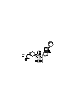 O=C(Nc1cccc(C(F)(F)F)c1)Nc1ccc2nc(-c3ccccc3)oc2c1